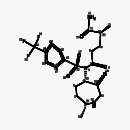 C[C@@H]1CC[C@H](N(C(=O)[CH]C[C@H](C)C(N)=O)S(=O)(=O)c2ccc(C(F)(F)F)cn2)C(=O)CN1